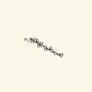 NNCCNC(=O)CNC(=O)COCCOCCNC(=O)COCCOCCNC=O